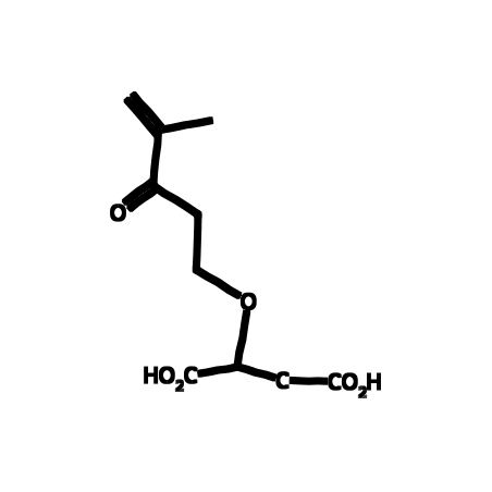 C=C(C)C(=O)CCOC(CC(=O)O)C(=O)O